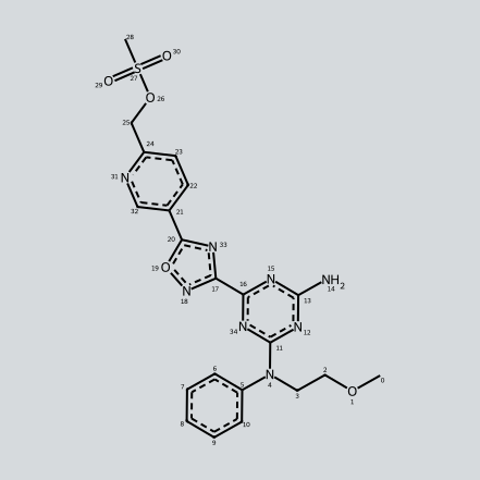 COCCN(c1ccccc1)c1nc(N)nc(-c2noc(-c3ccc(COS(C)(=O)=O)nc3)n2)n1